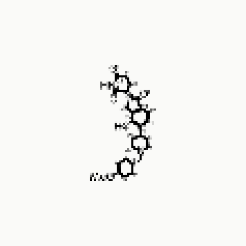 CO[C@H]1CC[C@H](CN2CCC(c3ccc4c(c3O)CN(C3CCC(=O)NC3=O)C4=O)CC2)CC1